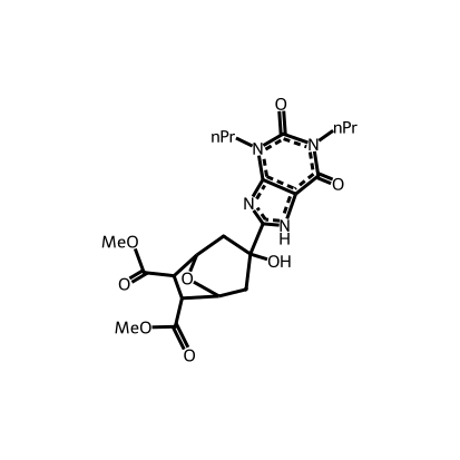 CCCn1c(=O)c2[nH]c(C3(O)CC4OC(C3)C(C(=O)OC)C4C(=O)OC)nc2n(CCC)c1=O